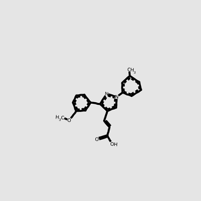 COc1cccc(-c2nn(-c3cccc(C)c3)cc2C=CC(=O)O)c1